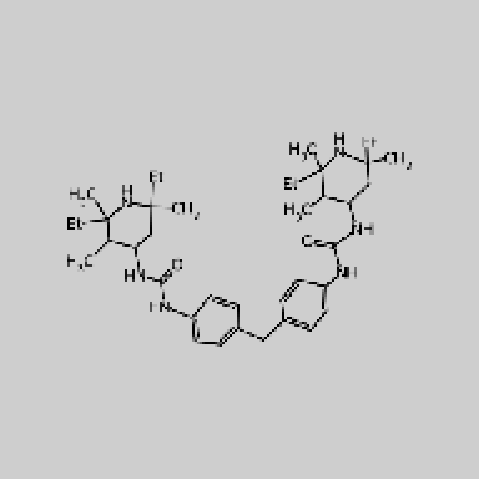 CCC1(C)CC(NC(=O)Nc2ccc(Cc3ccc(NC(=O)NC4CC(C)(CC)NC(C)(CC)C4C)cc3)cc2)C(C)C(C)(CC)N1